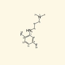 CN(C)CCCNc1cc(F)c[c]c1F